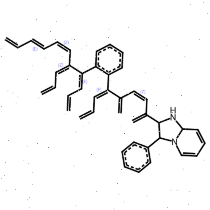 C=C/C=C(/C=C\C=C\C=C)C(=C/C=C)\c1ccccc1/C(=C/C=C)C(=C)/C=C\C(=C)C1NC2C=CC=CN2C1c1ccccc1